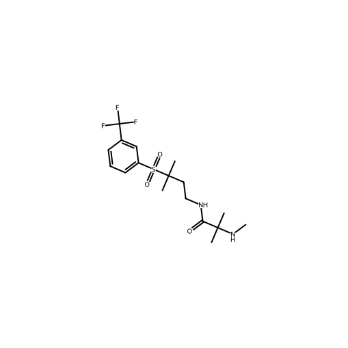 CNC(C)(C)C(=O)NCCC(C)(C)S(=O)(=O)c1cccc(C(F)(F)F)c1